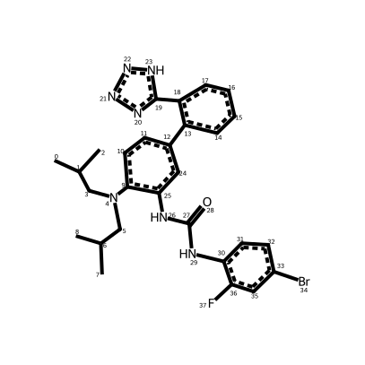 CC(C)CN(CC(C)C)c1ccc(-c2ccccc2-c2nnn[nH]2)cc1NC(=O)Nc1ccc(Br)cc1F